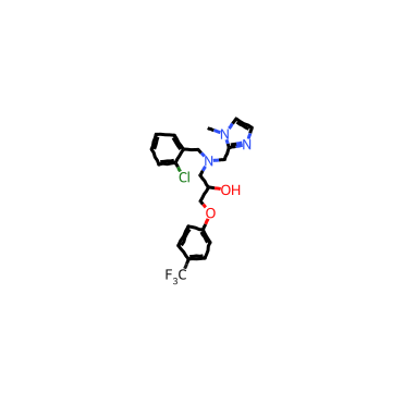 Cn1ccnc1CN(Cc1ccccc1Cl)CC(O)COc1ccc(C(F)(F)F)cc1